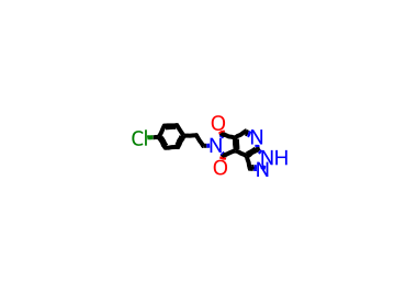 O=C1c2cnc3[nH]ncc3c2C(=O)N1CCc1ccc(Cl)cc1